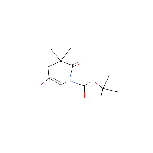 CC(C)(C)OC(O)N1C=C(I)CC(C)(C)C1=O